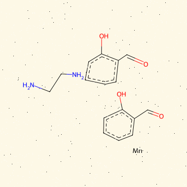 NCCN.O=Cc1ccccc1O.O=Cc1ccccc1O.[Mn]